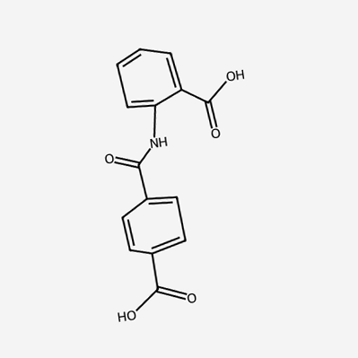 O=C(O)c1ccc(C(=O)Nc2ccccc2C(=O)O)cc1